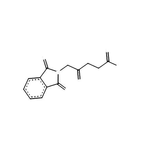 O=C(O)CCC(=O)CN1C(=O)c2ccccc2C1=O